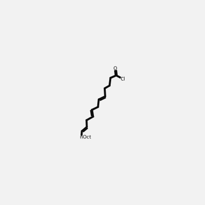 CCCCCCCCC=CCC=CCC=CCCCC(=O)Cl